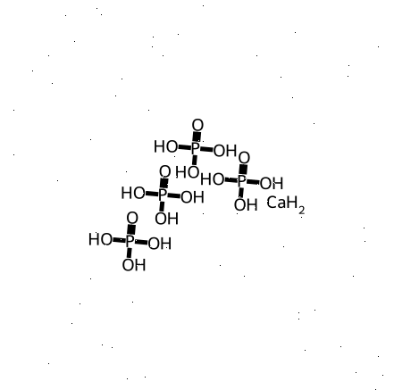 O=P(O)(O)O.O=P(O)(O)O.O=P(O)(O)O.O=P(O)(O)O.[CaH2]